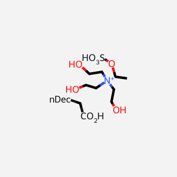 CC(OS(=O)(=O)O)[N+](CCO)(CCO)CCO.CCCCCCCCCCCC(=O)O